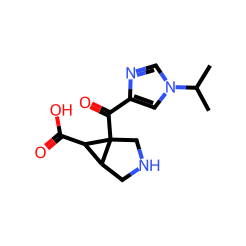 CC(C)n1cnc(C(=O)C23CNCC2C3C(=O)O)c1